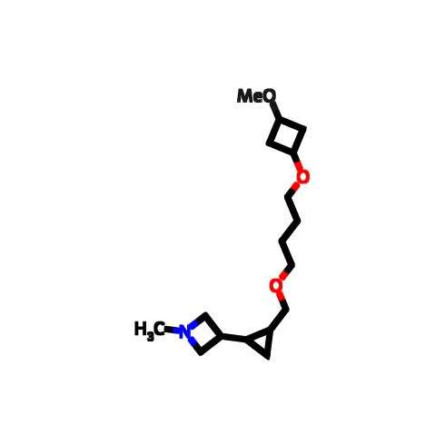 COC1CC(OCCCCOCC2CC2C2CN(C)C2)C1